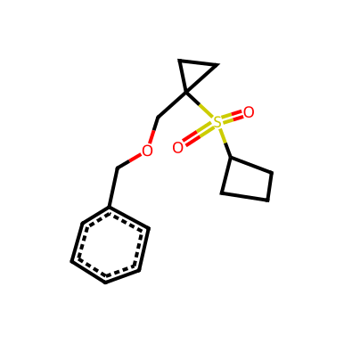 O=S(=O)(C1CCC1)C1(COCc2ccccc2)CC1